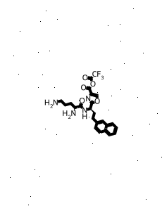 NCCC[C@@H](N)C(=O)N[C@H](CCc1ccc2ccccc2c1)c1nc(C(=O)OC(=O)C(F)(F)F)co1